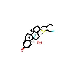 CCCC[C@]1(SCCF)CC[C@H]2[C@@H]3CCC4=CC(=O)C=C[C@]4(C)C3(F)[C@@H](O)C[C@@]21C